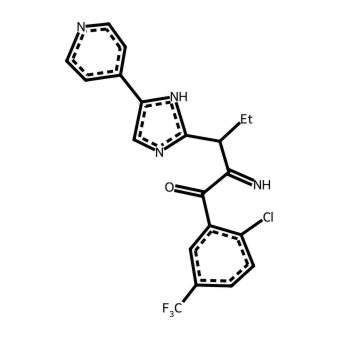 CCC(C(=N)C(=O)c1cc(C(F)(F)F)ccc1Cl)c1ncc(-c2ccncc2)[nH]1